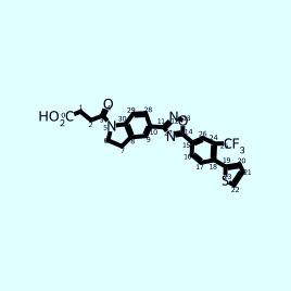 O=C(O)CCC(=O)N1CCc2cc(-c3noc(-c4ccc(-c5cccs5)c(C(F)(F)F)c4)n3)ccc21